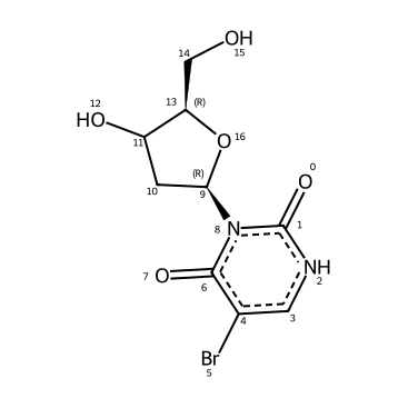 O=c1[nH]cc(Br)c(=O)n1[C@H]1CC(O)[C@@H](CO)O1